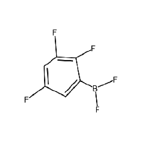 FB(F)c1cc(F)cc(F)c1F